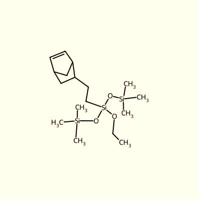 CCO[Si](CCC1CC2C=CC1C2)(O[Si](C)(C)C)O[Si](C)(C)C